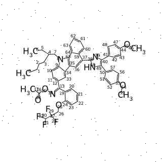 CCCCC(CC)Cn1c2ccc(/C(=N\OC(C)=O)c3ccccc3OCC(F)(F)C(F)F)cc2c2cc(-c3nc(-c4ccc(OC)cc4)c(-c4ccc(OC)cc4)[nH]3)c3ccccc3c21